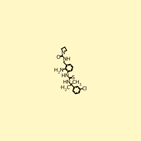 [CH2]C(C)(NC(=S)Nc1cccc(CNC(=O)N2CCC2)c1N)c1cccc(Cl)c1